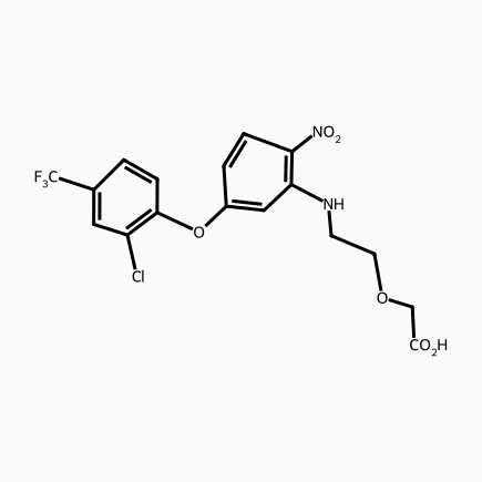 O=C(O)COCCNc1cc(Oc2ccc(C(F)(F)F)cc2Cl)ccc1[N+](=O)[O-]